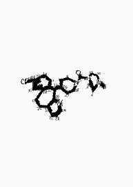 CN1CCN(C(=O)N2CCC(=C3c4ccc(Cl)cc4CCc4cccnc43)CC2)CC1